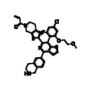 C=CC(=O)N1CCc2nc(-c3nc(-c4ccc5c(c4)CCNC5)c4ccsc4c3-c3c(F)cc(Cl)cc3OCCOC)sc2C1